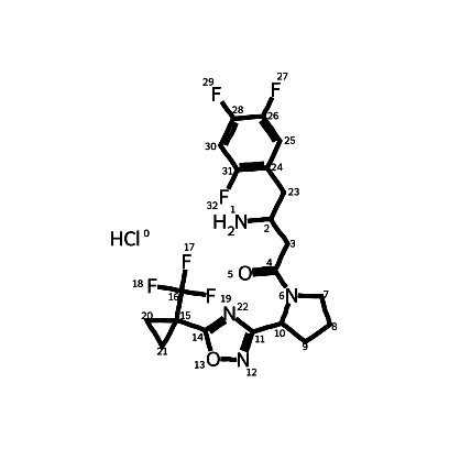 Cl.NC(CC(=O)N1CCCC1c1noc(C2(C(F)(F)F)CC2)n1)Cc1cc(F)c(F)cc1F